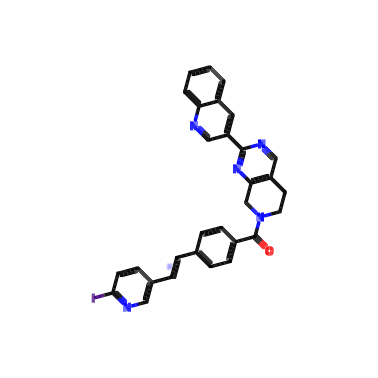 O=C(c1ccc(/C=C/c2ccc(I)nc2)cc1)N1CCc2cnc(-c3cnc4ccccc4c3)nc2C1